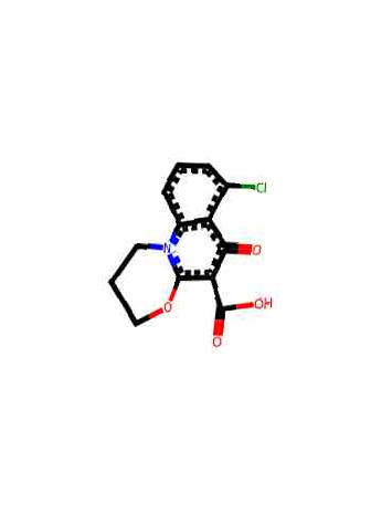 O=C(O)c1c2n(c3cccc(Cl)c3c1=O)CCCO2